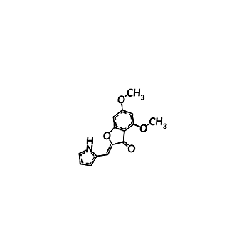 COc1cc(OC)c2c(c1)O/C(=C\c1ccc[nH]1)C2=O